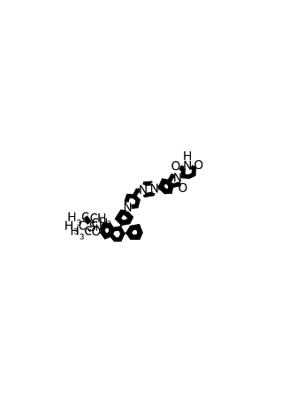 CC(C)(C)[Si](C)(C)Oc1ccc2c(c1)CC[C@H](c1ccccc1)[C@@H]2c1ccc(N2CCC(CN3CCN(c4ccc5c(c4)CN([C@H]4CCC(=O)NC4=O)C5=O)CC3)CC2)cc1